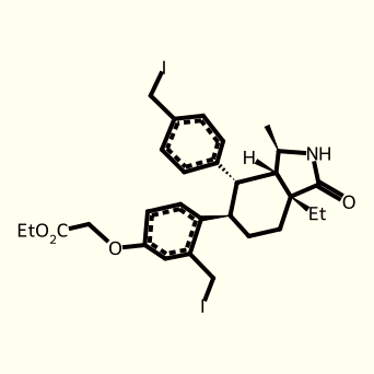 CCOC(=O)COc1ccc([C@@H]2CC[C@@]3(CC)C(=O)N[C@H](C)[C@H]3[C@H]2c2ccc(CI)cc2)c(CI)c1